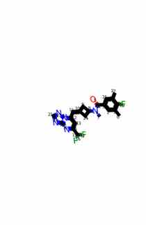 Cc1cc(C(=O)N(C)C2CC(=Cc3cc(C(F)F)nc4ncnn34)C2)cc(C)c1F